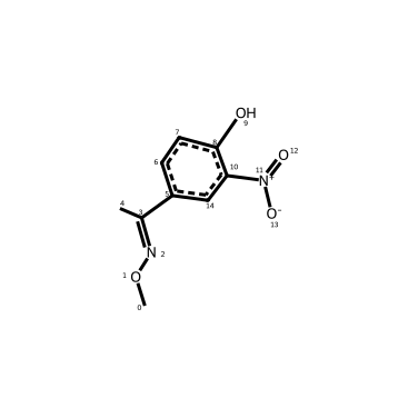 CON=C(C)c1ccc(O)c([N+](=O)[O-])c1